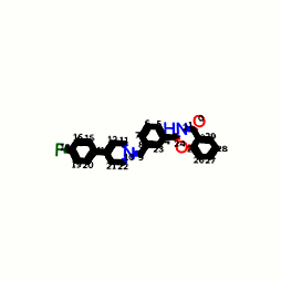 O=C1NC(c2cccc(CN3CC=C(c4ccc(F)cc4)CC3)c2)Oc2ccccc21